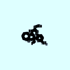 CC(C)(C)OC(=O)NC1=N[C@](CF)(c2nc(N)ccc2F)C[S@@]2(=O)=NCCCCN12